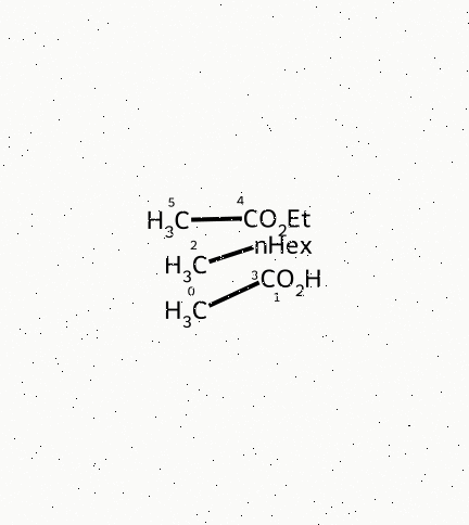 CC(=O)O.CCCCCCC.CCOC(C)=O